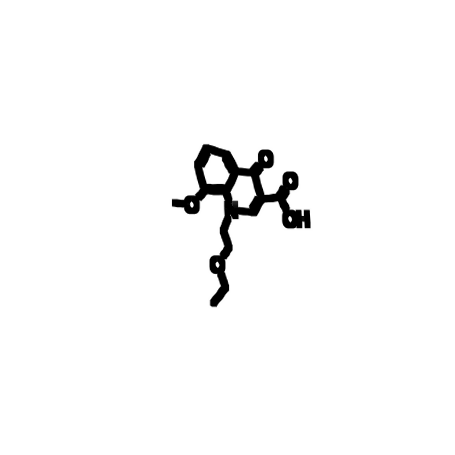 CCOCCn1cc(C(=O)O)c(=O)c2cccc(OC)c21